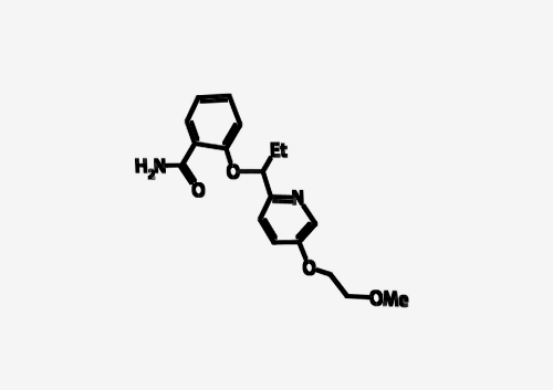 CCC(Oc1ccccc1C(N)=O)c1ccc(OCCOC)cn1